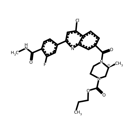 CCCOC(=O)N1CCN(C(=O)c2ccc3c(Cl)cc(-c4ccc(C(=O)NC)c(F)c4)nc3c2)[C@@H](C)C1